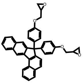 c1ccc2cc3c(cc2c1)-c1c(ccc2ccccc12)C3(c1ccc(OCC2CO2)cc1)c1ccc(OCC2CO2)cc1